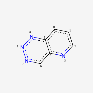 [c]1ccnc2cnnnc12